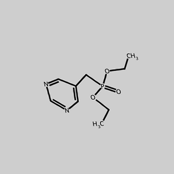 CCOP(=O)(Cc1cncnc1)OCC